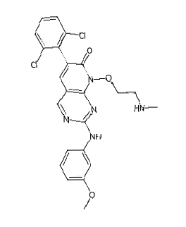 CNCCOn1c(=O)c(-c2c(Cl)cccc2Cl)cc2cnc(Nc3cccc(OC)c3)nc21